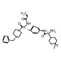 C=CC(=O)N[C@H](Cc1ccc(NC(=O)[C@@H](N)C2CCC(F)(F)CC2)cc1)C(=O)N1CCN(Cc2ccccc2)CC1